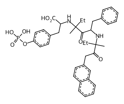 CCC(C)(NC(Cc1ccccc1)C(=O)C(C)(CC)NC(Cc1ccc(OP(=O)(O)O)cc1)C(=O)O)C(=O)Cc1ccc2ccccc2c1